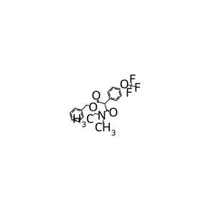 CCN(CC)C(=O)C(C(=O)OCc1ccccc1)c1ccc(OC(F)(F)F)cc1